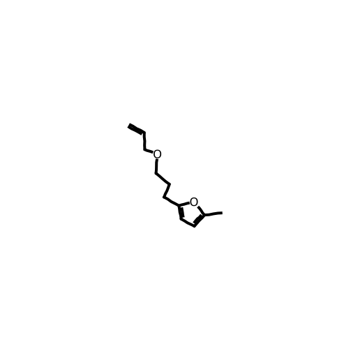 C=CCOCCCc1ccc(C)o1